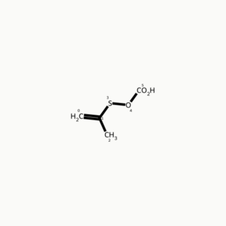 C=C(C)SOC(=O)O